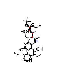 C=C(/C(F)=C\c1c(N2CCN(C(=O)OC(C)(C)C)C[C@@H]2C)nc(=O)n(-c2c(CCC)ncnc2CCC)c1NO)c1cc(F)cc(F)c1O